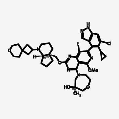 COc1nc(-c2c(C3CC3)c(Cl)cc3[nH]ncc23)c(F)c2nc(OC[C@]34CCC[C@H]3N(C3CC5(CCOCC5)C3)CCC4)nc(N3CCOC[C@@](C)(O)C3)c12